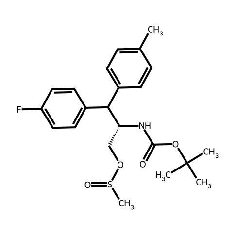 Cc1ccc(C(c2ccc(F)cc2)[C@@H](COS(C)=O)NC(=O)OC(C)(C)C)cc1